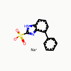 O=S(=O)([O-])c1nc2c(-c3ccccc3)cccc2[nH]1.[Na+]